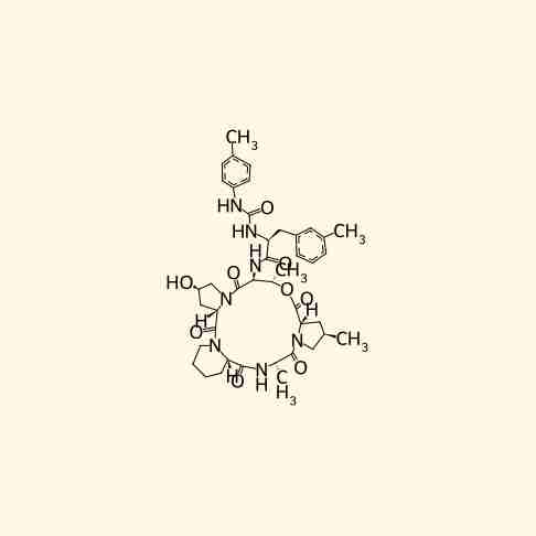 Cc1ccc(NC(=O)N[C@@H](Cc2cccc(C)c2)C(=O)N[C@@H]2C(=O)N3C[C@H](O)C[C@H]3C(=O)N3CCCC[C@H]3C(=O)N[C@@H](C)C(=O)N3C[C@H](C)C[C@H]3C(=O)O[C@H]2C)cc1